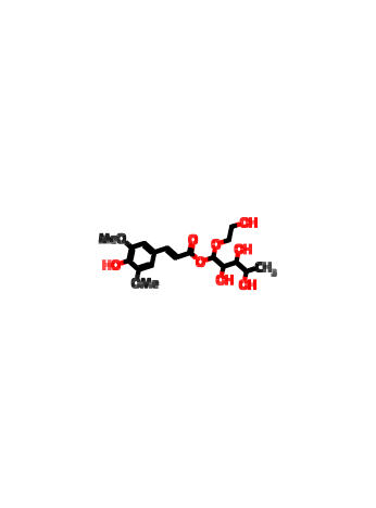 COc1cc(/C=C/C(=O)OC(OCCO)C(O)C(O)C(C)O)cc(OC)c1O